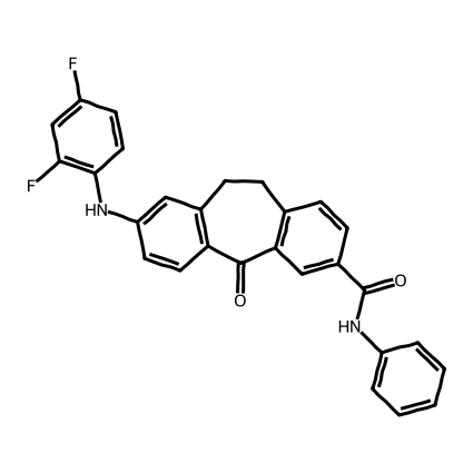 O=C(Nc1ccccc1)c1ccc2c(c1)C(=O)c1ccc(Nc3ccc(F)cc3F)cc1CC2